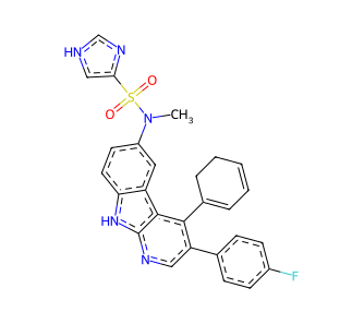 CN(c1ccc2[nH]c3ncc(-c4ccc(F)cc4)c(C4=CC=CCC4)c3c2c1)S(=O)(=O)c1c[nH]cn1